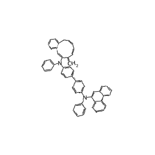 C=C1/C=C\C=C/Cc2ccccc2/C=C\1N(c1ccccc1)c1ccc(-c2ccc(N(c3ccccc3)c3cc4ccccc4c4ccccc34)cc2)cc1